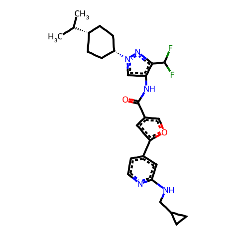 CC(C)[C@H]1CC[C@@H](n2cc(NC(=O)c3coc(-c4ccnc(NCC5CC5)c4)c3)c(C(F)F)n2)CC1